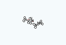 c1cnc2c(c1)C1(c3ccc(-n4c5ccccc5c5ccccc54)cc3Oc3ccc(-c4ccc5c(c4)c4ccccc4n5-c4ccc(-n5c6ccccc6c6ccccc65)nc4)cc31)c1cccnc1-2